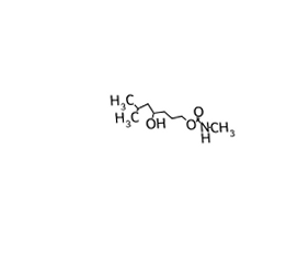 CNC(=O)OCCCC(O)CC(C)C